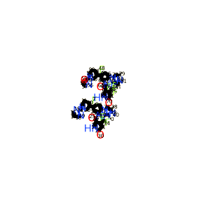 C[C@@H]1CN(c2cc(F)c(C3=CCCN(c4ncccn4)C3)cc2NC(=O)c2c[nH]c(=O)cc2C(F)F)C[C@H](C)N1C.C[C@@H]1CN(c2cc(F)c(C3=CCCN(c4ncco4)C3)cc2NC(=O)c2c[nH]c(=O)cc2C(F)(F)F)C[C@H](C)N1C